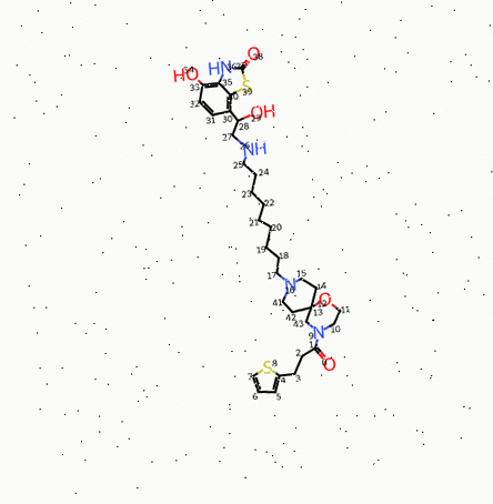 O=C(CCc1cccs1)N1CCOC2(CCN(CCCCCCCCCNCC(O)c3ccc(O)c4[nH]c(=O)sc34)CC2)C1